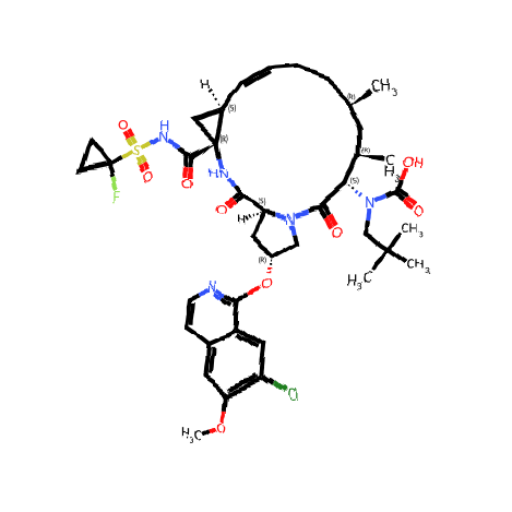 COc1cc2ccnc(O[C@@H]3C[C@H]4C(=O)N[C@]5(C(=O)NS(=O)(=O)C6(F)CC6)C[C@H]5C=CCC[C@@H](C)C[C@@H](C)[C@H](N(CC(C)(C)C)C(=O)O)C(=O)N4C3)c2cc1Cl